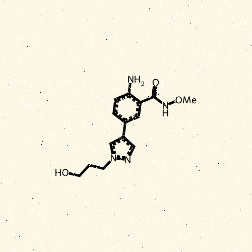 CONC(=O)c1cc(-c2cnn(CCCO)c2)ccc1N